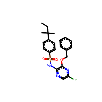 CCC(C)(C)c1ccc(S(=O)(=O)Nc2ncc(Br)nc2OCc2ccccc2)cc1